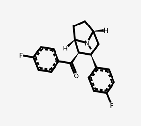 CN1[C@@H]2CC[C@H]1[C@H](C(=O)c1ccc(F)cc1)[C@H](c1ccc(F)cc1)C2